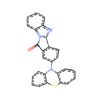 O=C1c2cc(N3c4ccccc4Sc4ccccc43)ccc2-c2nc3ccccc3n21